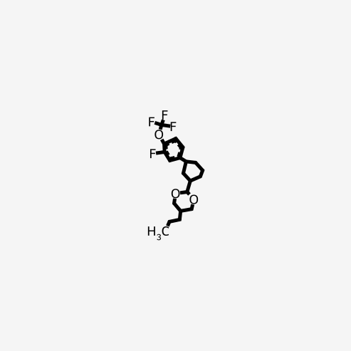 CCCC1COC(C2CCCC(c3ccc(OC(F)(F)F)c(F)c3)C2)OC1